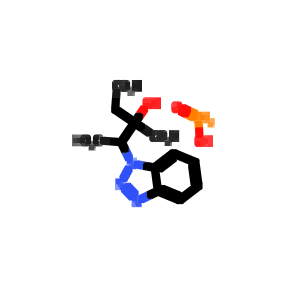 O=C(O)CC(O)(C(=O)O)C(C(=O)O)n1nnc2ccccc21.O=[PH2]O